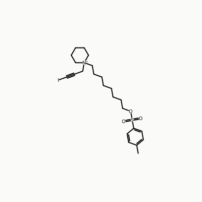 Cc1ccc(S(=O)(=O)OCCCCCCCC[N+]2(CC#CI)CCCCC2)cc1